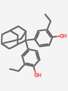 CCc1cc(C2(c3ccc(O)c(CC)c3)C3CC4CC(C3)CC2C4)ccc1O